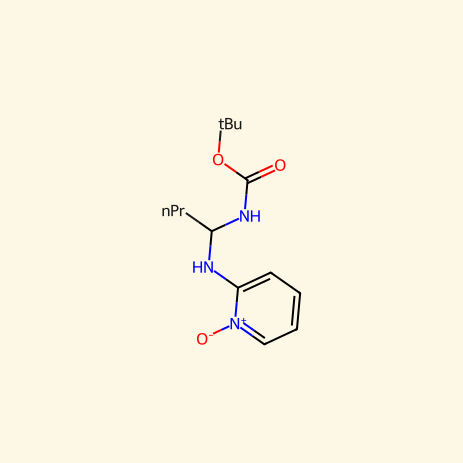 CCCC(NC(=O)OC(C)(C)C)Nc1cccc[n+]1[O-]